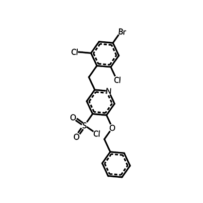 O=S(=O)(Cl)c1cc(Cc2c(Cl)cc(Br)cc2Cl)ncc1OCc1ccccc1